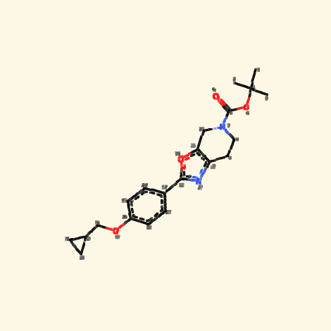 CC(C)(C)OC(=O)N1CCc2nc(-c3ccc(OCC4CC4)cc3)oc2C1